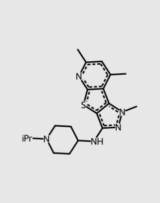 Cc1cc(C)c2c(n1)sc1c(NC3CCN(C(C)C)CC3)nn(C)c12